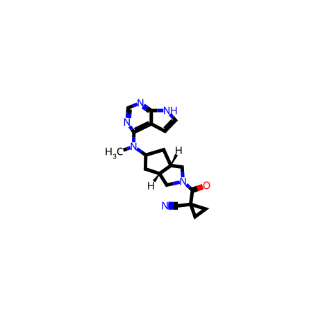 CN(c1ncnc2[nH]ccc12)C1C[C@@H]2CN(C(=O)C3(C#N)CC3)C[C@@H]2C1